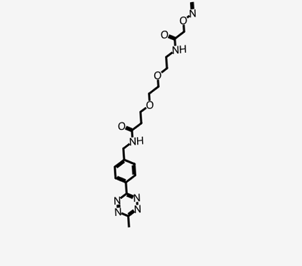 C=NOCC(=O)NCCOCCOCCC(=O)NCc1ccc(-c2nnc(C)nn2)cc1